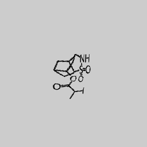 CC(I)C(=O)OC1C2CC3C1NS(=O)(=O)C3C2